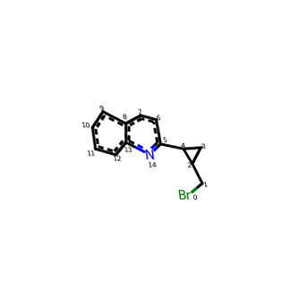 BrCC1CC1c1ccc2ccccc2n1